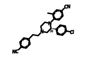 Cc1cc(C#N)ccc1N1CCN(CCc2ccc(C#N)cc2)C[C@H]1c1ccc(Cl)cc1